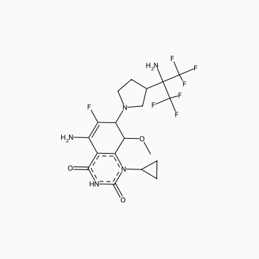 COC1c2c(c(=O)[nH]c(=O)n2C2CC2)C(N)=C(F)C1N1CCC(C(N)(C(F)(F)F)C(F)(F)F)C1